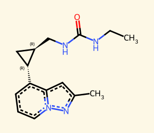 CCNC(=O)NC[C@@H]1C[C@H]1c1cccn2nc(C)cc12